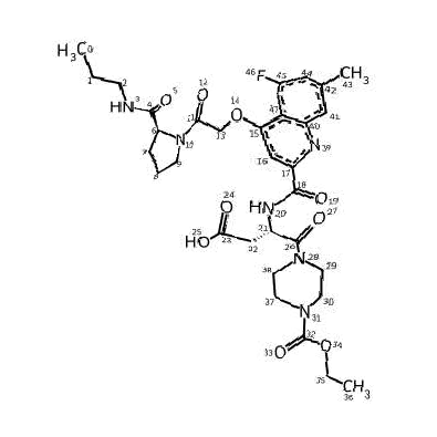 CCCNC(=O)[C@@H]1CCCN1C(=O)COc1cc(C(=O)N[C@@H](CC(=O)O)C(=O)N2CCN(C(=O)OCC)CC2)nc2cc(C)cc(F)c12